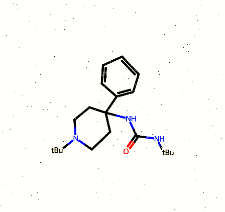 CC(C)(C)NC(=O)NC1(c2ccccc2)CCN(C(C)(C)C)CC1